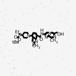 CCN(C(=O)OC(C)(C)C)C1CCN(c2ccc(C(=O)Nc3cn4cc(CO)nc(C)c4n3)c3nn(C)cc23)CC1